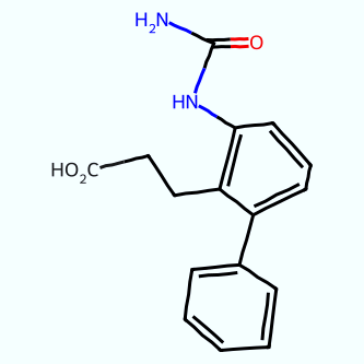 NC(=O)Nc1cccc(-c2ccccc2)c1CCC(=O)O